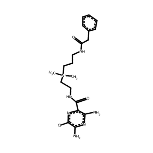 C[N+](C)(CCCNC(=O)Cc1ccccc1)CCNC(=O)c1nc(Cl)c(N)nc1N